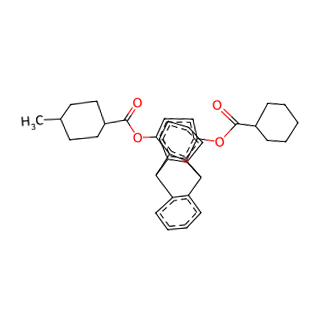 CC1CCC(C(=O)Oc2ccc(OC(=O)C3CCCCC3)c3c2C2c4ccccc4C3c3ccccc32)CC1